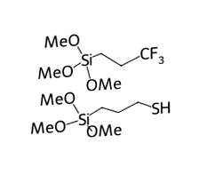 CO[Si](CCC(F)(F)F)(OC)OC.CO[Si](CCCS)(OC)OC